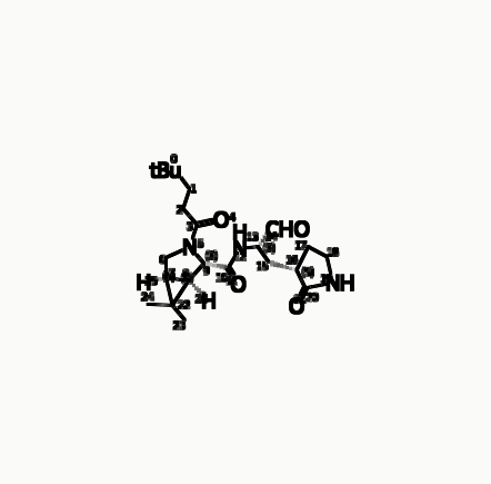 CC(C)(C)CCC(=O)N1C[C@H]2[C@@H]([C@H]1C(=O)N[C@H](C=O)C[C@@H]1CCNC1=O)C2(C)C